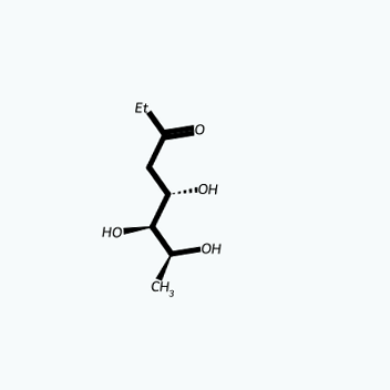 CCC(=O)C[C@H](O)[C@H](O)[C@H](C)O